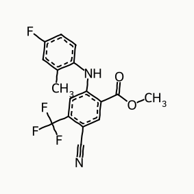 COC(=O)c1cc(C#N)c(C(F)(F)F)cc1Nc1ccc(F)cc1C